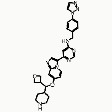 c1cn(-c2ccc(CNc3cc(-c4cnc5cc(OC(C6CCNCC6)C6COC6)ccn45)ncn3)cc2)nn1